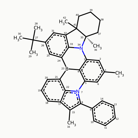 Cc1cc2c3c(c1)-n1c(-c4ccccc4)c(C)c4cccc(c41)B3c1cc(C(C)(C)C)cc3c1N2[C@]1(C)CCCCC31C